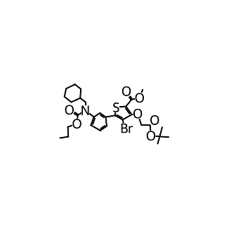 CCCOC(=O)N(CC1CCCCC1)c1cccc(-c2sc(C(=O)OC)c(OCC(=O)OC(C)(C)C)c2Br)c1